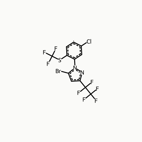 FC(F)(F)Sc1c[c]c(Cl)cc1-n1nc(C(F)(F)C(F)(F)F)cc1Br